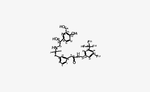 CC(C)(Cc1cccc(CC(=O)NCc2cc(F)cc(C(F)(F)F)c2)c1)NCC(O)c1ccc(O)c(CO)n1